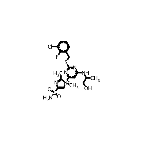 CC1=NC(S(N)(=O)=O)=C[N+]1(C)c1cc(NC(C)CO)nc(SCc2cccc(Cl)c2F)n1